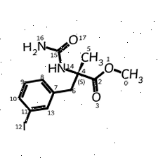 COC(=O)[C@](C)(Cc1cccc(I)c1)NC(N)=O